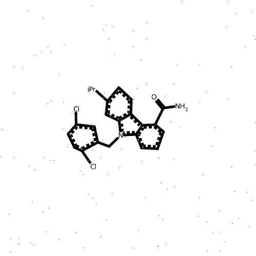 CC(C)c1c[c]c2c3c(C(N)=O)cccc3n(Cc3cc(Cl)ccc3Cl)c2c1